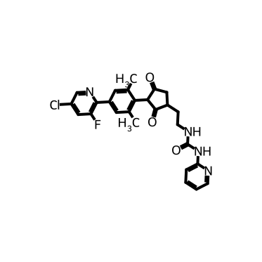 Cc1cc(-c2ncc(Cl)cc2F)cc(C)c1C1C(=O)CC(CCNC(=O)Nc2ccccn2)C1=O